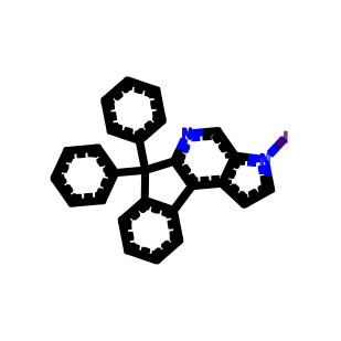 In1ccc2c3c(ncc21)C(c1ccccc1)(c1ccccc1)c1ccccc1-3